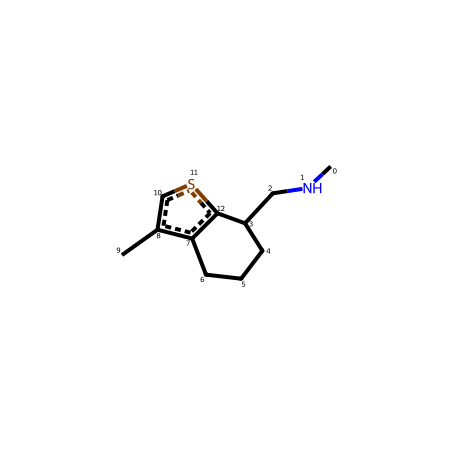 CNCC1CCCc2c(C)csc21